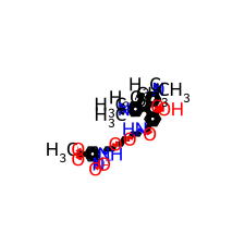 COC(=O)c1ccc(NCCOCCOCCNC(=O)c2ccc(C(=O)O)c(C3=C4C=CC(N(C)C)C=C4[Si](C)(C)c4cc(N(C)C)ccc43)c2)c([N+](=O)[O-])c1